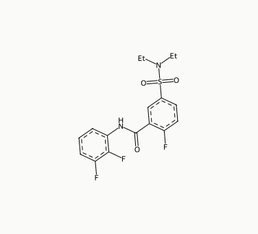 CCN(CC)S(=O)(=O)c1ccc(F)c(C(=O)Nc2cccc(F)c2F)c1